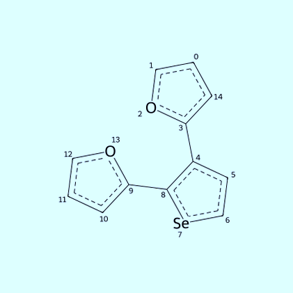 c1coc(-c2cc[se]c2-c2ccco2)c1